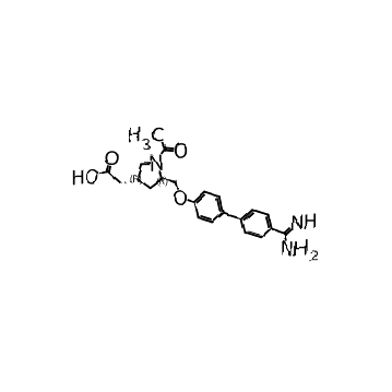 CC(=O)N1C[C@@H](CC(=O)O)C[C@@H]1COc1ccc(-c2ccc(C(=N)N)cc2)cc1